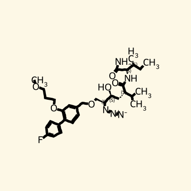 CC[C@H](C)[C@H](NC(=O)[C@@H](C[C@H](O)[C@H](COCc1ccc(-c2ccc(F)cc2)c(OCCCOC)c1)N=[N+]=[N-])C(C)C)C(N)=O